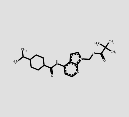 CC(N)C1CCC(C(=O)Nc2ccnc3c2ccn3COC(=O)C(C)(C)C)CC1